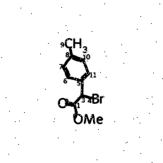 COC(=O)C(Br)c1ccc(C)cc1